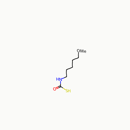 COCCCCCNC(=O)S